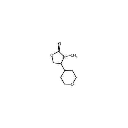 CN1C(=O)OCC1C1CCOCC1